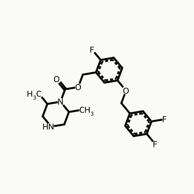 CC1CNCC(C)N1C(=O)OCc1cc(OCc2ccc(F)c(F)c2)ccc1F